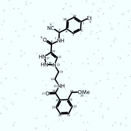 CCc1ccc(C(C#N)NC(=O)C2=CN(CCNC(=O)c3ccccc3COC)NN2)cc1